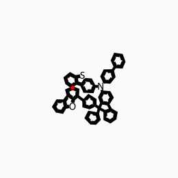 c1ccc(-c2ccc(N(c3ccc4c(c3)C(c3ccccc3)(c3ccc(-c5cccc6c5oc5ccccc56)cc3)c3ccccc3-4)c3ccc4c(c3)sc3ccccc34)cc2)cc1